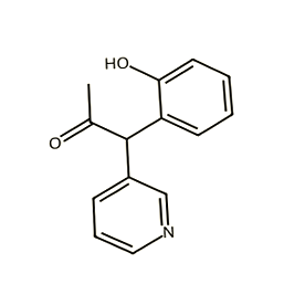 CC(=O)C(c1cccnc1)c1ccccc1O